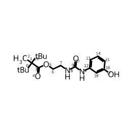 CC(C)(C)C(C)(C(=O)OCCNC(=O)Nc1cccc(O)c1)C(C)(C)C